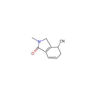 CN1CC2=C(C=CCC2C#N)C1=O